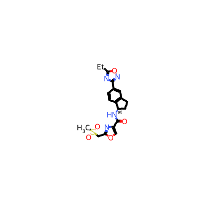 CCc1nc(-c2ccc3c(c2)CC[C@H]3NC(=O)c2coc(CS(C)(=O)=O)n2)no1